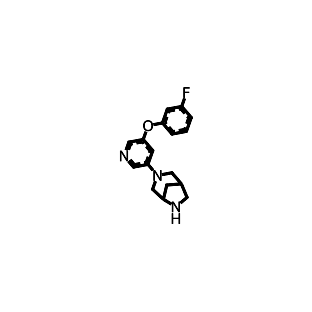 Fc1cccc(Oc2cncc(N3CC4CNC(C4)C3)c2)c1